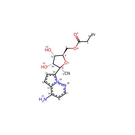 CC(C)CC(=O)OC[C@H]1O[C@@](C#N)(c2ccc3c(N)ccnn23)[C@H](O)[C@@H]1O